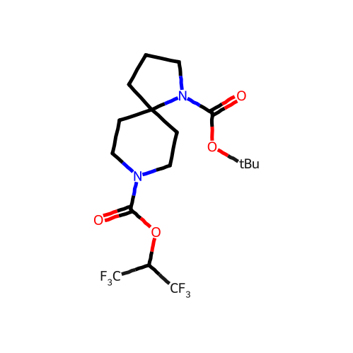 CC(C)(C)OC(=O)N1CCCC12CCN(C(=O)OC(C(F)(F)F)C(F)(F)F)CC2